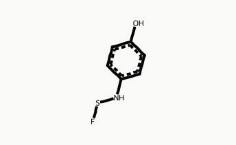 Oc1ccc(NSF)cc1